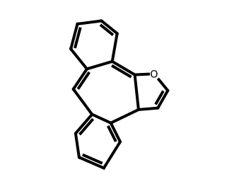 C1=CC2C(=c3ccccc3=Cc3ccccc32)O1